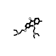 CCN(CC)CCOc1ccc2c(=O)c3ccc(C)cc3n(CCN(CC)CC)c2c1